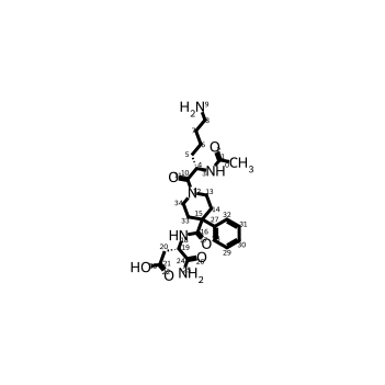 CC(=O)N[C@@H](CCCCN)C(=O)N1CCC(C(=O)N[C@@H](CC(=O)O)C(N)=O)(c2ccccc2)CC1